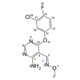 CO/N=C/c1c(N)ncnc1Oc1ccc(F)c(Cl)c1